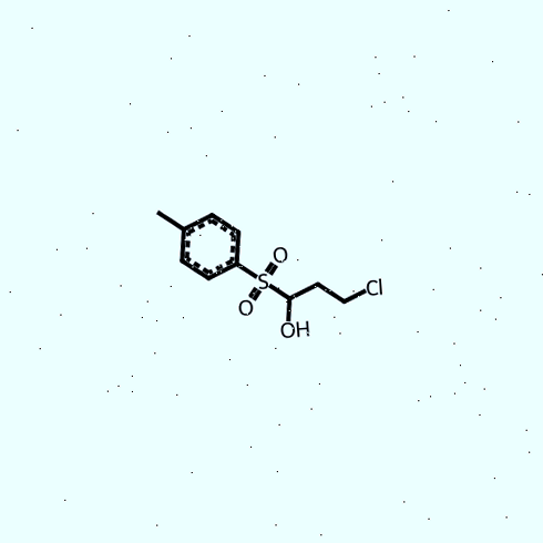 Cc1ccc(S(=O)(=O)C(O)CCCl)cc1